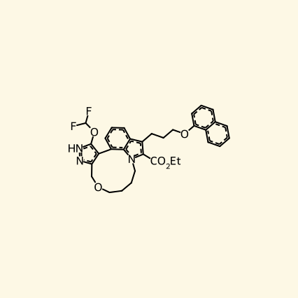 CCOC(=O)c1c(CCCOc2cccc3ccccc23)c2cccc3c2n1CCCCOCc1n[nH]c(OC(F)F)c1-3